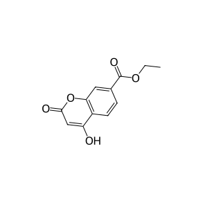 CCOC(=O)c1ccc2c(O)cc(=O)oc2c1